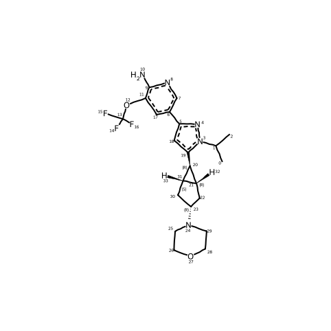 CC(C)n1nc(-c2cnc(N)c(OC(F)(F)F)c2)cc1[C@H]1[C@@H]2C[C@H](N3CCOCC3)C[C@@H]21